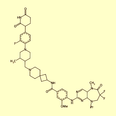 COc1cc(C(=O)NC2CC3(CCN(CC4CCN(c5ccc(C6CCC(=O)NC6=O)cc5F)CC4C)CC3)C2)ccc1NC1=NC2C(C=N1)N(C)C(=O)C(F)(F)CN2C(C)C